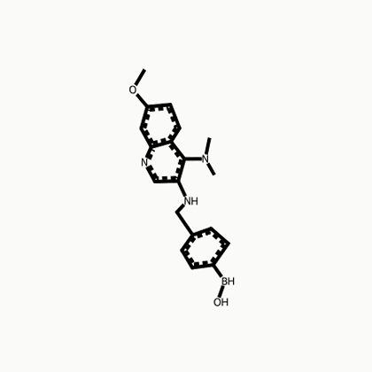 COc1ccc2c(N(C)C)c(NCc3ccc(BO)cc3)cnc2c1